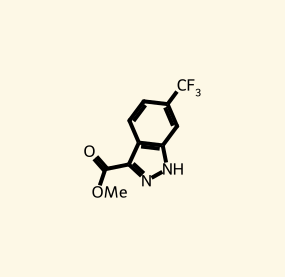 COC(=O)c1n[nH]c2cc(C(F)(F)F)ccc12